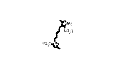 CCn1nc(C)c(CC=CCCn2nc(C)cc2C(=O)O)c1C(=O)O